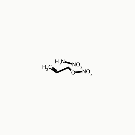 C=CCO[N+](=O)[O-].N[N+](=O)[O-]